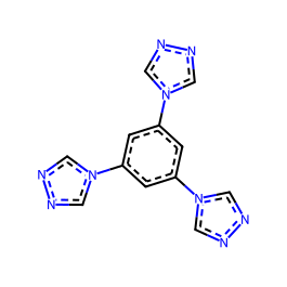 c1c(-n2cnnc2)cc(-n2cnnc2)cc1-n1cnnc1